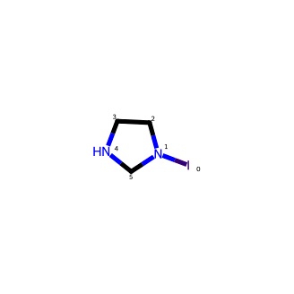 IN1CCNC1